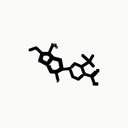 CCc1nn2cc(F)c(N3CCN(C(=O)O)C(C(C)(C)C)C3)cc2c1N